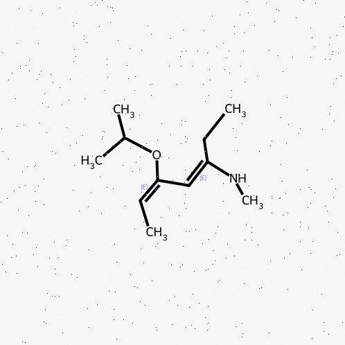 C/C=C(\C=C(/CC)NC)OC(C)C